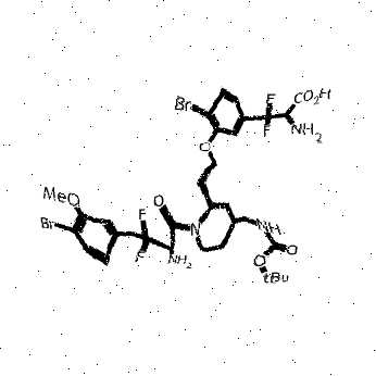 COc1cc(C(F)(F)C(N)C(=O)N2CCC(NC(=O)OC(C)(C)C)CC2CCOc2cc(C(F)(F)C(N)C(=O)O)ccc2Br)ccc1Br